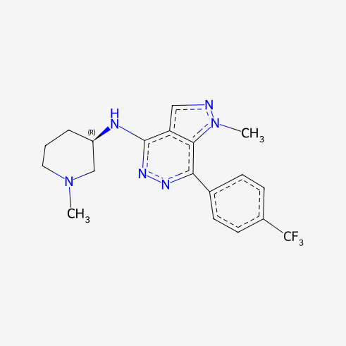 CN1CCC[C@@H](Nc2nnc(-c3ccc(C(F)(F)F)cc3)c3c2cnn3C)C1